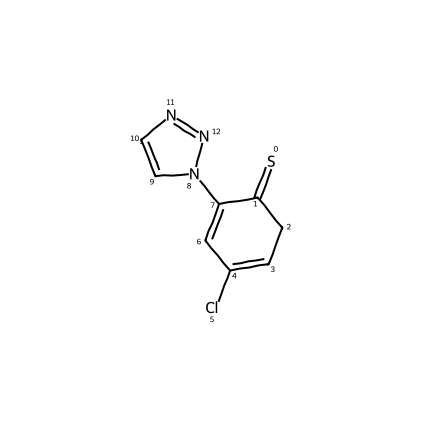 S=C1CC=C(Cl)C=C1n1c[c]nn1